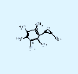 Cc1c(C)c(C)c(C2OC2C)c(C)c1C